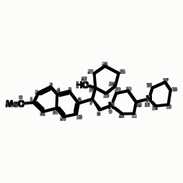 COc1ccc2cc([C@H](CN3CCC(N4CCCCC4)CC3)C3(O)CCCCC3)ccc2c1